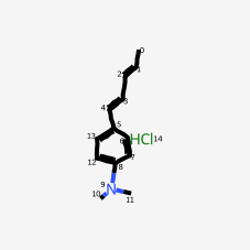 CC=CC=Cc1ccc(N(C)C)cc1.Cl